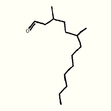 CCCCCCCC(C)CCC(C)CC=O